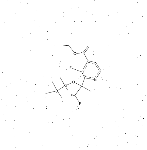 C=C(OCC)c1ccnc(C(F)(O[Si](C)(C)C(C)(C)C)C(F)F)c1F